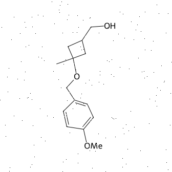 COc1ccc(COC2(C)CC(CO)C2)cc1